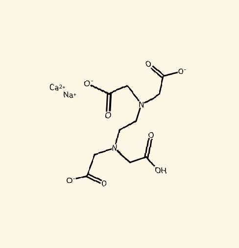 O=C([O-])CN(CCN(CC(=O)[O-])CC(=O)O)CC(=O)[O-].[Ca+2].[Na+]